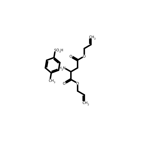 C=CCOC(=O)CC(N)C(=O)OCC=C.Cc1ccc(S(=O)(=O)O)cc1